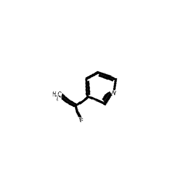 C=C(F)c1cccnc1